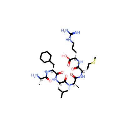 CSCC[C@H](NC(=O)[C@H](C)NC(=O)[C@H](CC(C)C)NC(=O)[C@H](CC1CCCCC1)NC(=O)[C@H](C)N)C(=O)N[C@@H](CCCNC(=N)N)C(=O)O